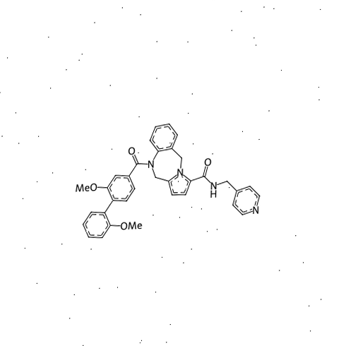 COc1ccccc1-c1ccc(C(=O)N2Cc3ccc(C(=O)NCc4ccncc4)n3Cc3ccccc32)cc1OC